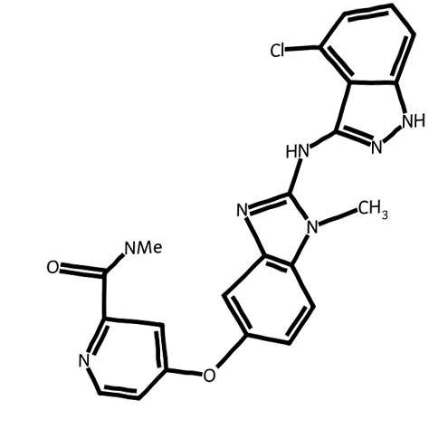 CNC(=O)c1cc(Oc2ccc3c(c2)nc(Nc2n[nH]c4cccc(Cl)c24)n3C)ccn1